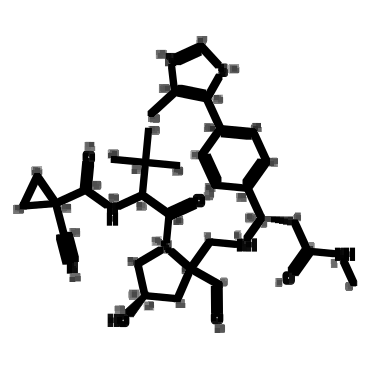 CNC(=O)C[C@H](NCC1(C=O)C[C@@H](O)CN1C(=O)C(NC(=O)C1(C#N)CC1)C(C)(C)C)c1ccc(-c2scnc2C)cc1